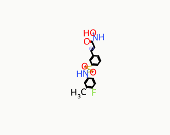 Cc1cc(NS(=O)(=O)c2cccc(/C=C/C(=O)NO)c2)ccc1F